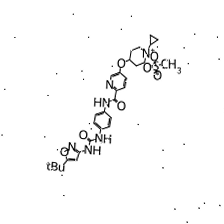 CC(C)(C)c1cc(NC(=O)Nc2ccc(NC(=O)c3ccc(OC4CC[N+](OS(C)(=O)=O)(C5CC5)CC4)cn3)cc2)no1